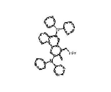 C=c1c(N(c2ccccc2)c2ccccc2)cc2c(cc(N(c3ccccc3)c3ccccc3)c3ccccc32)/c1=C/CCC